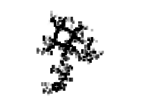 C/C1=C2/[N-][C@H]([C@H](CC(N)=O)[C@@]2(C)CCC(=O)NC[C@@H](C)OP(=O)([O-])O[C@H]2[C@@H](O)[C@@H](n3cnc4cc(C)c(C)cc43)O[C@@H]2CO)[C@]2(C)N=C(/C(C)=C3N=C(/C=C4N=C1[C@@H](CCC(N)=O)C\4(C)C)[C@@H](CCC(N)=O)[C@]\3(C)CC(N)=O)[C@@H](CCC(N)=O)[C@]2(C)CC(N)=O.CCCCNC(C)(C)P(=O)(O)O.[C-]#N.[Co+3]